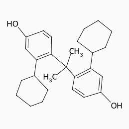 CC(C)(c1ccc(O)cc1C1CCCCC1)c1ccc(O)cc1C1CCCCC1